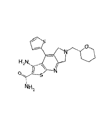 NC(=O)c1sc2nc3c(c(-c4cccs4)c2c1N)CN(CC1CCCCO1)C3